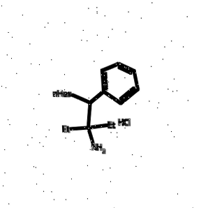 CCCCCCC(c1ccccc1)C(N)(CC)CC.Cl